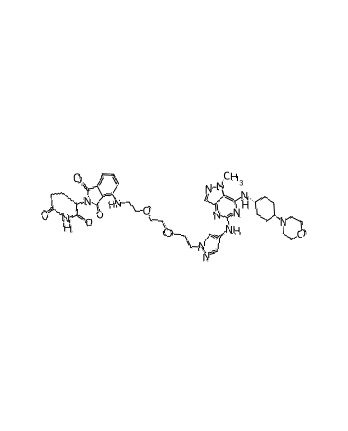 Cn1ncc2nc(Nc3cnn(CCOCCOCCNc4cccc5c4C(=O)N(C4CCC(=O)NC4=O)C5=O)c3)nc(N[C@H]3CC[C@H](N4CCOCC4)CC3)c21